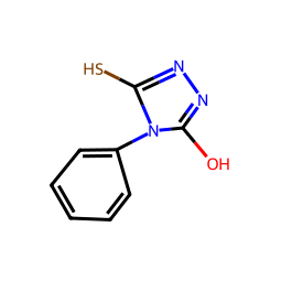 Oc1nnc(S)n1-c1ccccc1